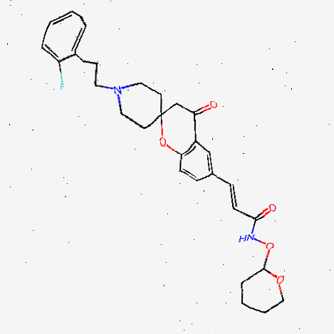 O=C(/C=C/c1ccc2c(c1)C(=O)CC1(CCN(CCc3ccccc3F)CC1)O2)NOC1CCCCO1